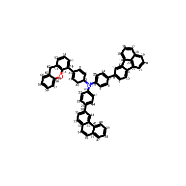 C1=CC(N(c2ccc(-c3ccc4c(c3)-c3cccc5cccc-4c35)cc2)c2ccc(-c3ccc4ccc5ccccc5c4c3)cc2)CC=C1c1cccc2c1Oc1ccccc1C2